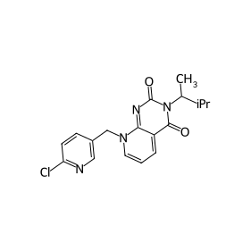 CC(C)C(C)n1c(=O)nc2n(Cc3ccc(Cl)nc3)cccc-2c1=O